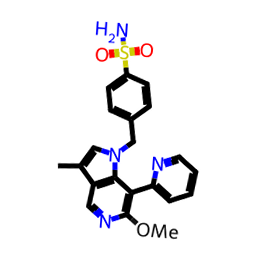 COc1ncc2c(C)cn(Cc3ccc(S(N)(=O)=O)cc3)c2c1-c1ccccn1